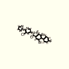 O=C(Nc1cnc(-n2nccn2)c(Cl)c1)c1cc(Br)c(-c2ccc(F)cc2Br)cc1F